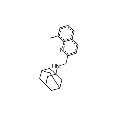 Cc1cccc2ccc(CNC34CC5CC(CC(C5)C3)C4)nc12